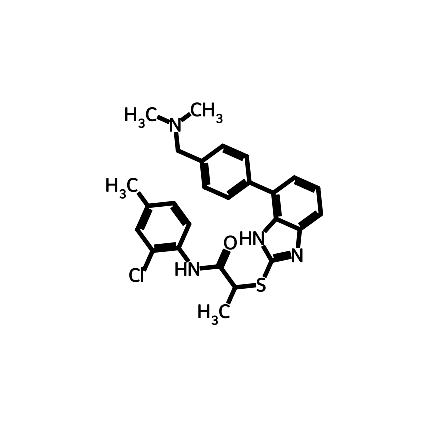 Cc1ccc(NC(=O)C(C)Sc2nc3cccc(-c4ccc(CN(C)C)cc4)c3[nH]2)c(Cl)c1